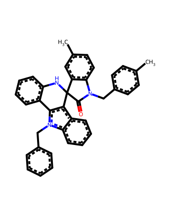 Cc1ccc(CN2C(=O)C3(Nc4ccccc4-c4c3c3ccccc3n4Cc3ccccc3)c3cc(C)ccc32)cc1